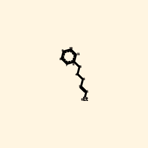 CCC=CCC[CH]c1ccccc1